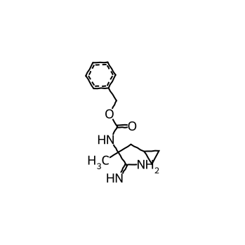 CC(CC1CC1)(NC(=O)OCc1ccccc1)C(=N)N